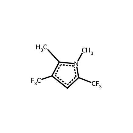 Cc1c(C(F)(F)F)cc(C(F)(F)F)n1C